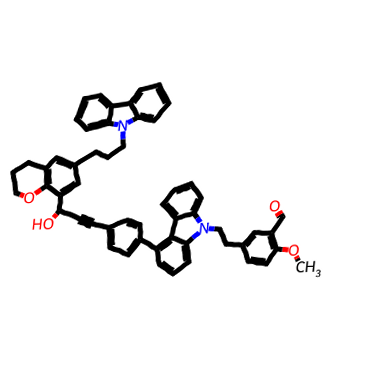 COc1ccc(CCn2c3ccccc3c3c(-c4ccc(C#CC(O)c5cc(CCCn6c7ccccc7c7ccccc76)cc6c5OCCC6)cc4)cccc32)cc1C=O